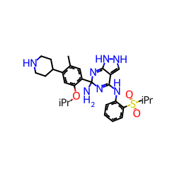 Cc1cc(C2(N)N=C3NNC=C3C(Nc3ccccc3S(=O)(=O)C(C)C)=N2)c(OC(C)C)cc1C1CCNCC1